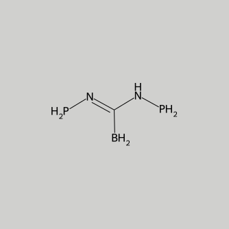 B/C(=N\P)NP